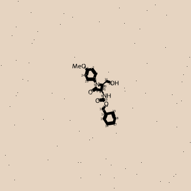 COc1ccc(N2C(=O)[C@H](NC(=O)OCc3ccccc3)[C@@H]2CO)cc1